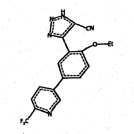 CCOc1ccc(-c2ccc(C(F)(F)F)nc2)cc1-c1nn[nH]c1C#N